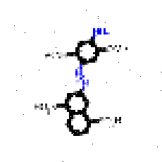 COc1cc(/N=N/c2cc(S(=O)(=O)O)c3cccc(S(=O)(=O)O)c3c2)c(NC(C)=O)cc1N